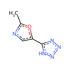 Cc1ncc(-c2nnn[nH]2)o1